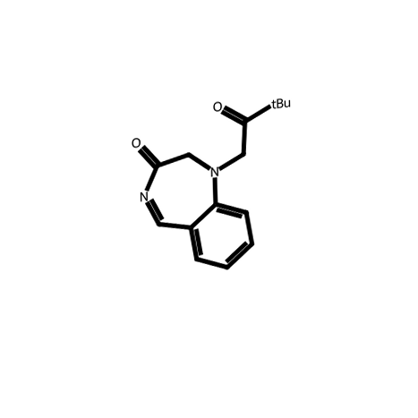 CC(C)(C)C(=O)CN1CC(=O)N=Cc2ccccc21